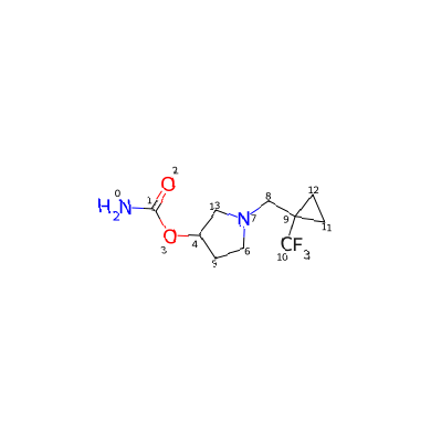 NC(=O)OC1CCN(CC2(C(F)(F)F)CC2)C1